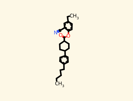 CCCCCc1ccc(C2CCC(C(=O)Oc3ccc(CC)cc3C#N)CC2)cc1